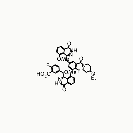 CCOC1CCN(C(=O)c2cc(Cc3n[nH]c(=O)c4cccc(OC)c34)ccc2F)CC1.COc1cccc2c(=O)[nH]nc(Cc3ccc(F)c(C(=O)O)c3)c12